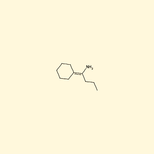 CCCC(N)=C1CCCCC1